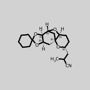 CC(C#N)C[C@H]1CC[C@@H]2O[C@@H]3C[C@]2(C[C@H]2OC4(CCCCC4)O[C@@H]32)O1